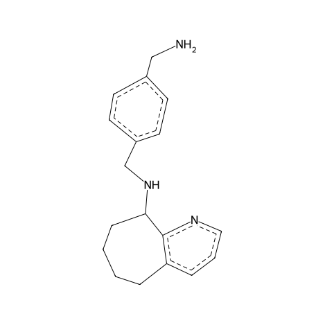 NCc1ccc(CNC2CCCCc3cccnc32)cc1